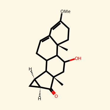 COC1=CC2=CCC3C(C(O)C[C@]4(C)C(=O)[C@H]5C[C@H]5C34)[C@@]2(C)CC1